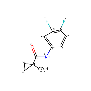 O=C(O)C1(C(=O)Nc2ccc(F)c(F)c2)CC1